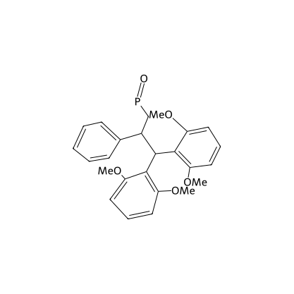 COc1cccc(OC)c1C(c1c(OC)cccc1OC)C(CP=O)c1ccccc1